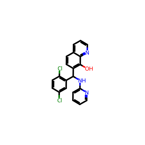 Oc1c(C(Nc2ccccn2)c2cc(Cl)ccc2Cl)ccc2cccnc12